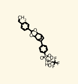 C=Cc1ccc(C2OC3C4CC(c5ccc(S(=O)(=O)NS(=O)(=O)C(F)(F)F)cc5)C(C4)C3O2)cc1